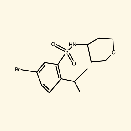 CC(C)c1ccc(Br)cc1S(=O)(=O)NC1CCOCC1